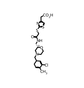 CC1=CCC(CN2CCO[C@@H](CNC(=O)CSc3nc(CC(=O)O)cs3)C2)C=C1Cl